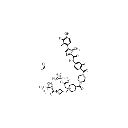 Cn1c(-c2ccc(O)c(F)c2Cl)cnc1C(=O)Nc1ccc(C(=O)N2CCN(C(=O)C3CC[N+](CC(=O)OC(C)(C)C)(CC4CN(C(=O)OC(C)(C)C)C4)CC3)CC2)c(Cl)c1.O=C[O-]